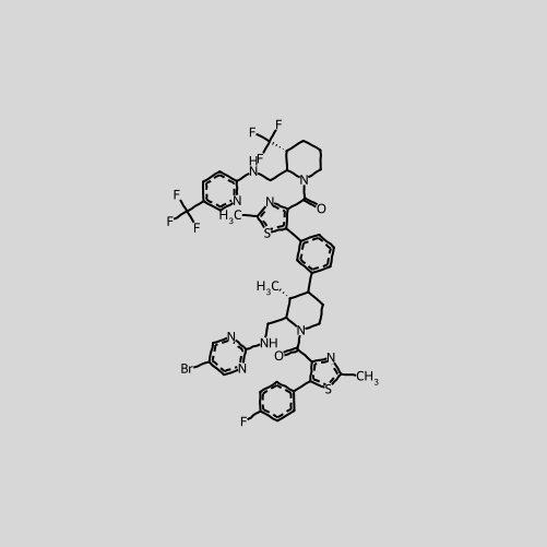 Cc1nc(C(=O)N2CCC(c3cccc(-c4sc(C)nc4C(=O)N4CCC[C@@H](C(F)(F)F)C4CNc4ccc(C(F)(F)F)cn4)c3)[C@@H](C)C2CNc2ncc(Br)cn2)c(-c2ccc(F)cc2)s1